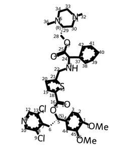 COc1ccc([C@H](Cc2c(Cl)cncc2Cl)OC(=O)c2ccc(CNC(C(=O)OC[C@H]3CN(C)CCN3C)c3ccccc3)s2)cc1OC